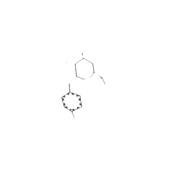 OC[C@H]1O[C@H](Oc2ccc(F)cc2)[C@H](O)[C@@H](O)[C@@H]1O